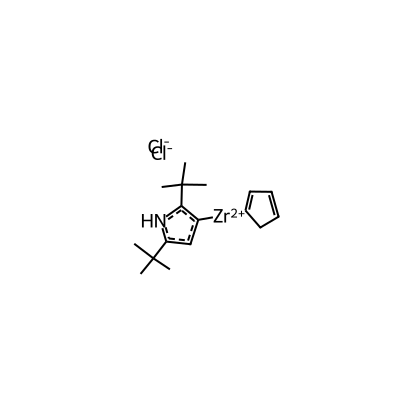 CC(C)(C)c1c[c]([Zr+2][C]2=CC=CC2)c(C(C)(C)C)[nH]1.[Cl-].[Cl-]